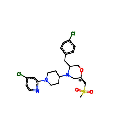 CS(=O)(=O)C[C@H]1CN(C2CCN(c3cc(Cl)ccn3)CC2)C(Cc2ccc(Cl)cc2)CO1